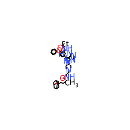 CCC(=O)Nc1cc(-c2nn(C3CCN(CCNC(=O)[C@H](C)CCC45CC6CC(CC(C6)C4)C5)CC3)c3ncnc(N)c23)ccc1Oc1ccccc1